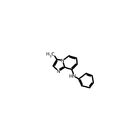 Cc1cnc2c(Nc3ccccc3)cccn12